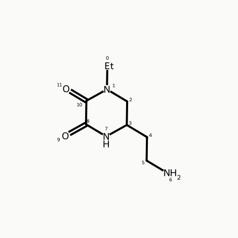 CCN1CC(CCN)NC(=O)C1=O